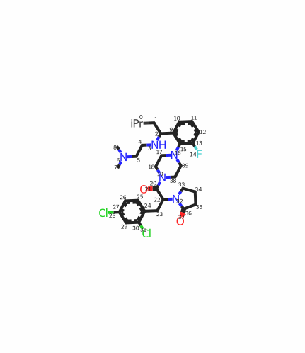 CC(C)CC(NCCN(C)C)c1cccc(F)c1N1CCN(C(=O)C(Cc2ccc(Cl)cc2Cl)N2CCCC2=O)CC1